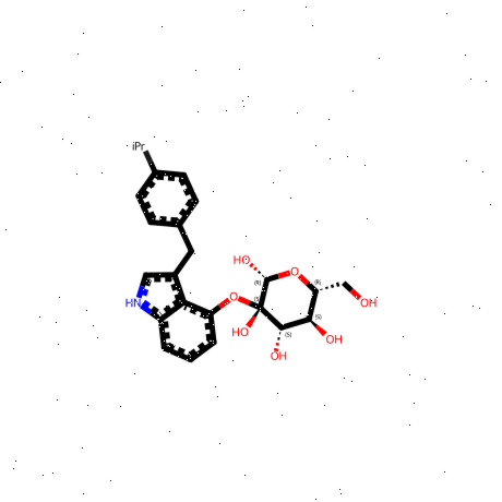 CC(C)c1ccc(Cc2c[nH]c3cccc(O[C@]4(O)[C@H](O)O[C@H](CO)[C@@H](O)[C@@H]4O)c23)cc1